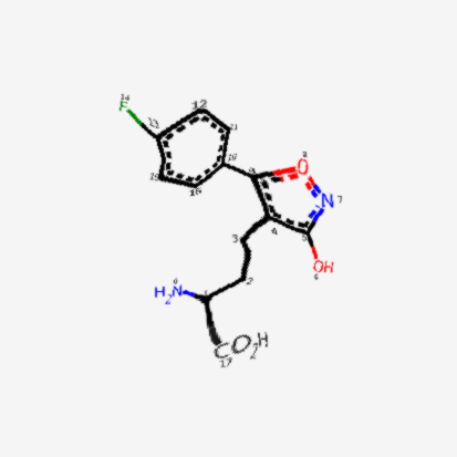 NC(CCc1c(O)noc1-c1ccc(F)cc1)C(=O)O